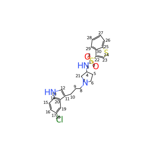 O=S(=O)(NC1CCN(CCCc2c[nH]c3ccc(Cl)cc23)C1)c1csc2ccccc12